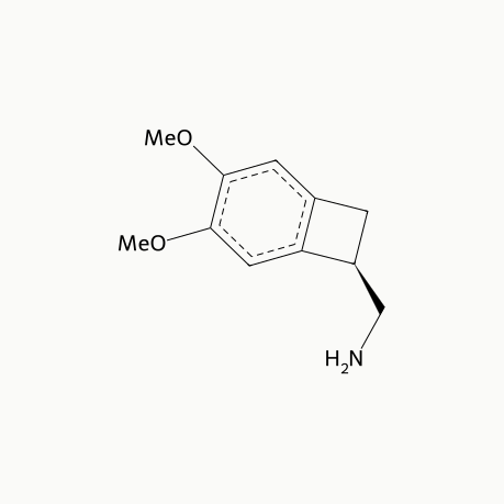 COc1cc2c(cc1OC)[C@H](CN)C2